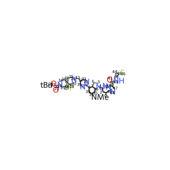 CNc1cc(N2CCc3c(-c4ncc(CN5CCC6(CCN(C(=O)OC(C)(C)C)CC6)C(F)(F)C5)cn4)cccc32)nn2c(C(=O)N[C@@H]3C[C@@H]3F)cnc12